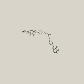 CCCCOc1ccc(OCC2CCC(CCCC(C)CCCC3CCC(COc4ccc(C)c(F)c4F)CC3)CC2)c(F)c1F